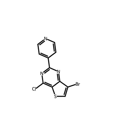 Clc1nc(-c2ccncc2)nc2c(Br)csc12